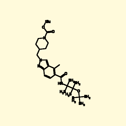 BC(B)(B)OC(B)(B)C(B)(B)NC(=O)c1ccc2nn(CC3CCN(C(=O)OC(C)(C)C)CC3)cc2c1C